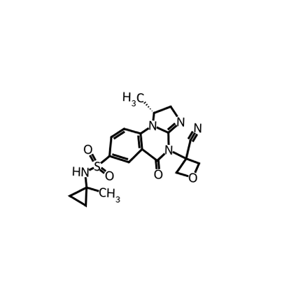 C[C@@H]1CN=C2N1c1ccc(S(=O)(=O)NC3(C)CC3)cc1C(=O)N2C1(C#N)COC1